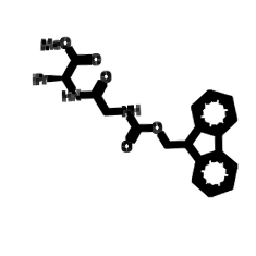 COC(=O)[C@@H](NC(=O)CNC(=O)OCC1c2ccccc2-c2ccccc21)C(C)C